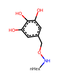 CCCCCCNOCc1cc(O)c(O)c(O)c1